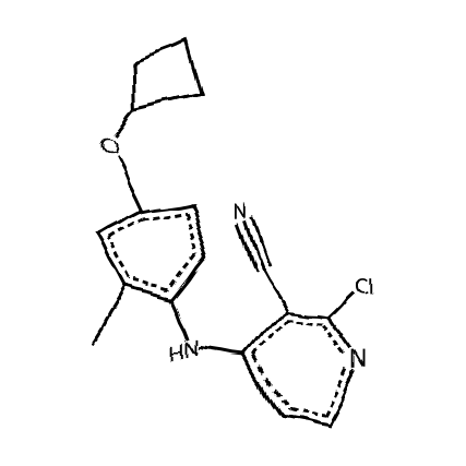 Cc1cc(OC2CCC2)ccc1Nc1ccnc(Cl)c1C#N